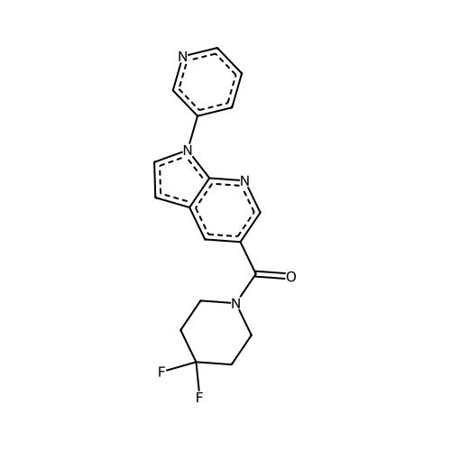 O=C(c1cnc2c(ccn2-c2cccnc2)c1)N1CCC(F)(F)CC1